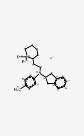 CC[N+]1(CC)CCCCC1CCN(c1ccc(C)cc1)C1Cc2ccccc2C1.[I-]